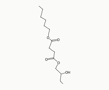 CCCCCCOC(=O)CCC(=O)OCC(O)CC